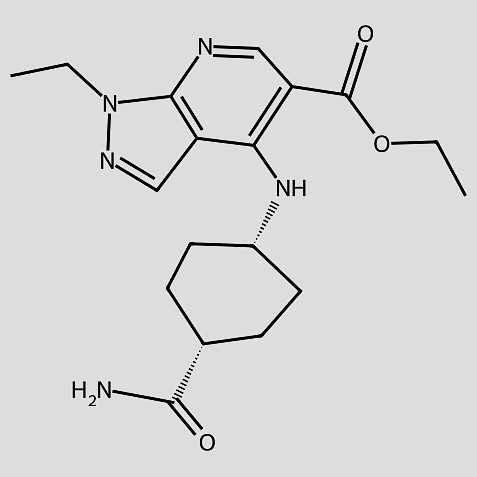 CCOC(=O)c1cnc2c(cnn2CC)c1N[C@H]1CC[C@@H](C(N)=O)CC1